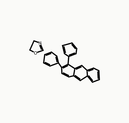 C1=NCCO1.c1ccc(-c2ccc3cc4ccccc4cc3c2-c2ccccc2)cc1